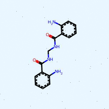 Nc1ccccc1C(=O)NCNC(=O)c1ccccc1N